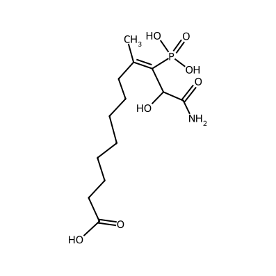 CC(CCCCCCCC(=O)O)=C(C(O)C(N)=O)P(=O)(O)O